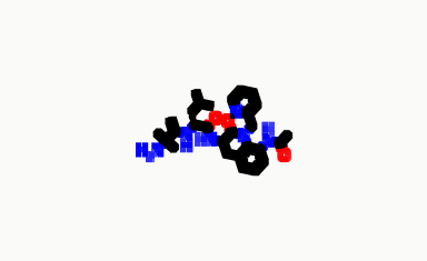 C=C(N[C@H](CC(C)C)C(=O)NC1Cc2cccc(NC(C)=O)c2N(Cc2ccccn2)C1=O)C(C)(C)N